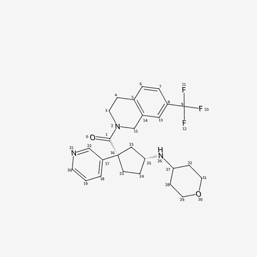 O=C(N1CCc2ccc(C(F)(F)F)cc2C1)[C@@]1(c2cccnc2)CC[C@@H](NC2CCOCC2)C1